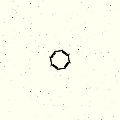 [C]1=CC=CC=CC=C1